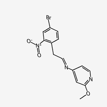 COc1cc(N=CCc2ccc(Br)cc2[N+](=O)[O-])ccn1